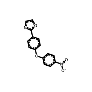 O=[N+]([O-])c1ccc(Oc2ccc(-c3ncco3)cc2)cc1